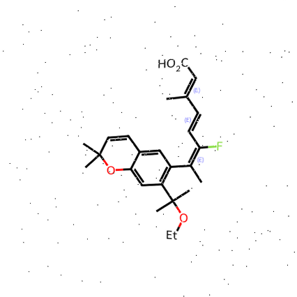 CCOC(C)(C)c1cc2c(cc1\C(C)=C(F)/C=C/C(C)=C/C(=O)O)C=CC(C)(C)O2